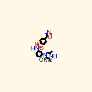 COc1ccc(NS(=O)(=O)c2ccc(-c3cnco3)cc2)cc1N1CC(C)NC(C)C1